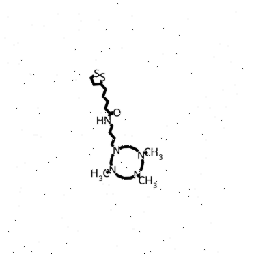 CN1CCCN(C)CCN(CCCCNC(=O)CCCCC2CCSS2)CCCN(C)CC1